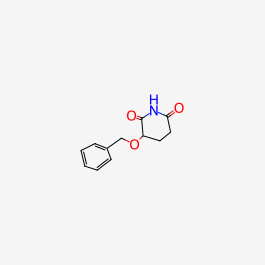 O=C1CCC(OCc2ccccc2)C(=O)N1